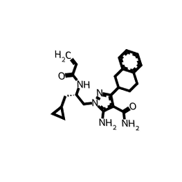 C=CC(=O)N[C@@H](CC1CC1)Cn1nc(C2CCc3ccccc3C2)c(C(N)=O)c1N